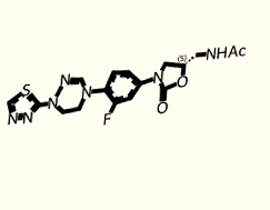 CC(=O)NC[C@H]1CN(c2ccc(N3C=NN(c4nncs4)CC3)c(F)c2)C(=O)O1